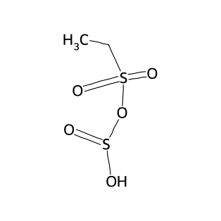 CCS(=O)(=O)OS(=O)O